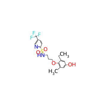 CCc1cc(O)cc(C)c1OCCCNS(=O)(=O)c1ccc(C(F)(F)F)cn1